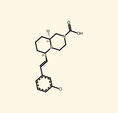 O=C(O)N1CCN2[C@@H](CCC[C@@H]2/C=C/c2cccc(Cl)c2)C1